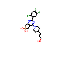 OCC=CC1CCN(c2nc(-c3cc(F)c(Cl)cc3F)nc3c2CS(O)(O)C3)CC1